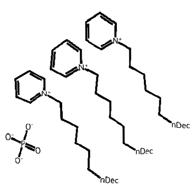 CCCCCCCCCCCCCCCC[n+]1ccccc1.CCCCCCCCCCCCCCCC[n+]1ccccc1.CCCCCCCCCCCCCCCC[n+]1ccccc1.O=P([O-])([O-])[O-]